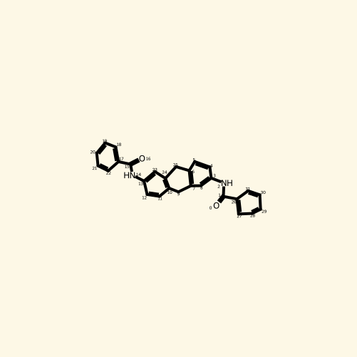 O=C(Nc1ccc2c(c1)Cc1ccc(NC(=O)c3ccccc3)cc1C2)c1ccccc1